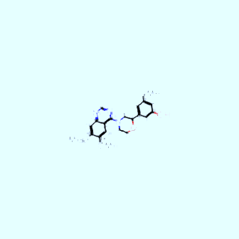 COc1cc(O)cc(C2CN(c3ncnc4cc(OC)c(OC)cc34)CCO2)c1